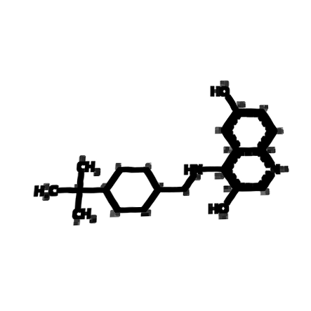 CC(C)(C)C1CCC(CNc2c(O)cnc3ccc(O)cc23)CC1